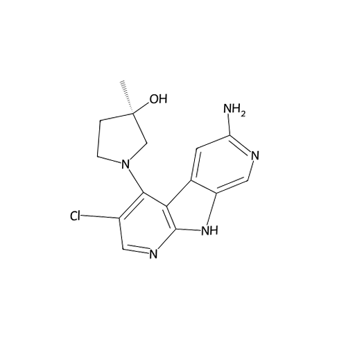 C[C@@]1(O)CCN(c2c(Cl)cnc3[nH]c4cnc(N)cc4c23)C1